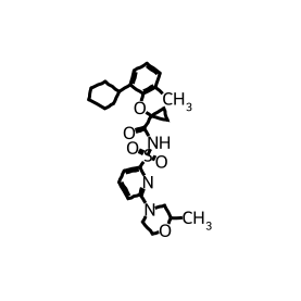 Cc1cccc(C2CCCCC2)c1OC1(C(=O)NS(=O)(=O)c2cccc(N3CCOC(C)C3)n2)CC1